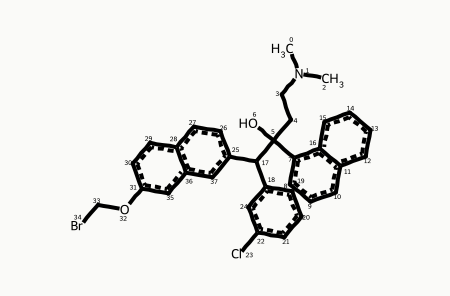 CN(C)CCC(O)(c1cccc2ccccc12)C(c1cccc(Cl)c1)c1ccc2ccc(OCBr)cc2c1